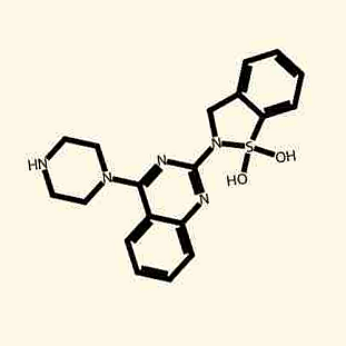 OS1(O)c2ccccc2CN1c1nc(N2CCNCC2)c2ccccc2n1